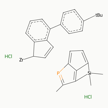 CC(C)(C)c1ccc(-c2cccc3c2C=C[CH]3[Zr])cc1.CC1=PC2=CC=C3C2=C1[Si]3(C)C.Cl.Cl